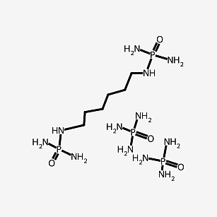 NP(N)(=O)NCCCCCCNP(N)(N)=O.NP(N)(N)=O.NP(N)(N)=O